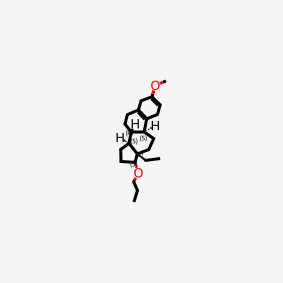 CCCO[C@H]1CC[C@H]2[C@@H]3CCC4=C(CC=C(OC)C4)[C@H]3CC[C@]12CC